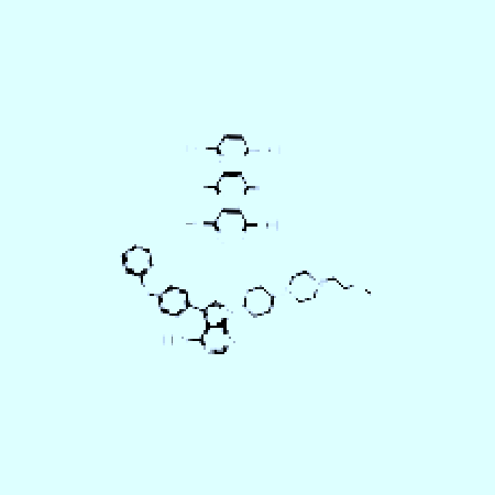 COCCN1CCN([C@H]2CC[C@@H](n3cc(-c4ccc(Oc5ccccc5)cc4)c4c(N)ncnc43)CC2)CC1.O=C(O)/C=C\C(=O)O.O=C(O)/C=C\C(=O)O.O=C(O)/C=C\C(=O)O